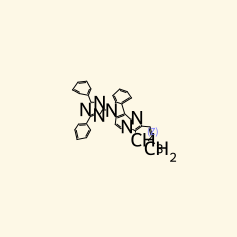 C=C/C=C\c1nc2c3c4ccccc4n(-c4nc(-c5ccccc5)nc(-c5ccccc5)n4)c3ccn2c1C